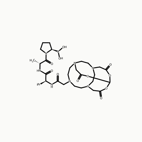 CC(C)[C@H](NC(=O)CN1CCN2CCN3CCN(CC1)CC(=O)OC(OC(=O)C2)OC(=O)C3)C(=O)N[C@H](C)C(=O)N1CCC[C@H]1B(O)O